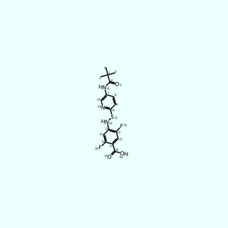 CC(C)(C)C(=O)Nc1ccc(SNc2cc(F)c(C(=O)O)cc2F)nc1